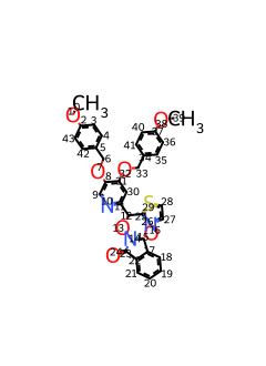 COc1ccc(COc2cnc(C(ON3C(=O)c4ccccc4C3=O)c3nccs3)cc2OCc2ccc(OC)cc2)cc1